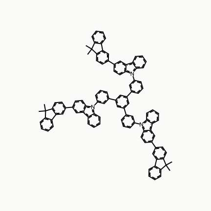 CC1(C)c2ccccc2-c2cc(-c3ccc4c(c3)c3ccccc3n4-c3cccc(-c4cc(-c5cccc(-n6c7ccccc7c7cc(-c8ccc9c(c8)-c8ccccc8C9(C)C)ccc76)c5)cc(-c5cccc(-n6c7ccccc7c7cc(-c8ccc9c(c8)-c8ccccc8C9(C)C)ccc76)c5)c4)c3)ccc21